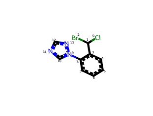 ClC(Br)c1ccccc1-n1cncn1